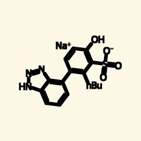 CCCCc1c(-c2cccc3[nH]nnc23)ccc(O)c1S(=O)(=O)[O-].[Na+]